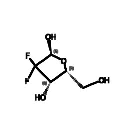 OC[C@H]1O[C@H](O)C(F)(F)[C@H]1O